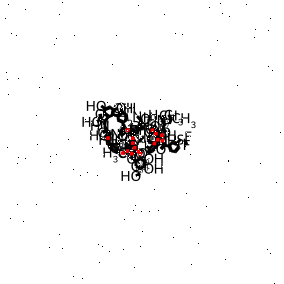 CN[C@@H](CC(C)C)C(=O)N[C@H]1C(=O)N[C@@H](CC(N)=O)C(=O)NC2C(=O)N[C@@H]3C(=O)N[C@@H](C(=O)N[C@@H](C(=O)O)c4cc(O)cc(O)c4-c4cc3ccc4O)[C@H](O)c3ccc(c(Cl)c3)Oc3cc2cc(c3OC2O[C@@H](CO)[C@@H](O)[C@@H](O)[C@H]2O[C@H]2CC(C)(NCCn3ccc(NC(=O)c4cccc(SC(F)F)c4)nc3=O)[C@@H](O)[C@@H](C)O2)Oc2ccc(cc2Cl)[C@H]1O